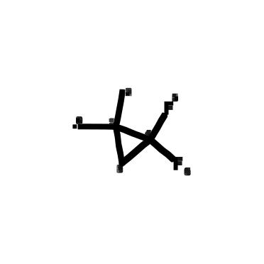 [CH2]C1(C)CC1(F)F